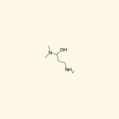 CN(C)C(O)CCN